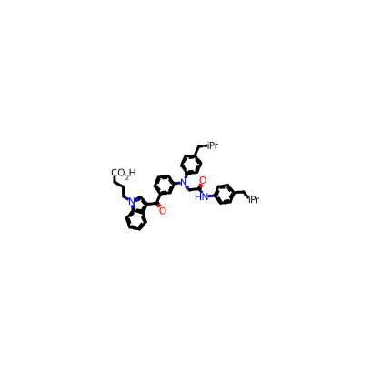 CC(C)Cc1ccc(NC(=O)CN(c2ccc(CC(C)C)cc2)c2cccc(C(=O)c3cn(CCCC(=O)O)c4ccccc34)c2)cc1